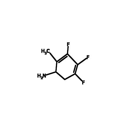 CC1=C(F)C(F)=C(F)CC1N